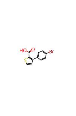 O=C(O)c1sccc1-c1ccc(Br)cc1